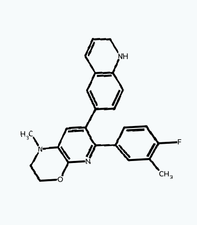 Cc1cc(-c2nc3c(cc2-c2ccc4c(c2)C=CCN4)N(C)CCO3)ccc1F